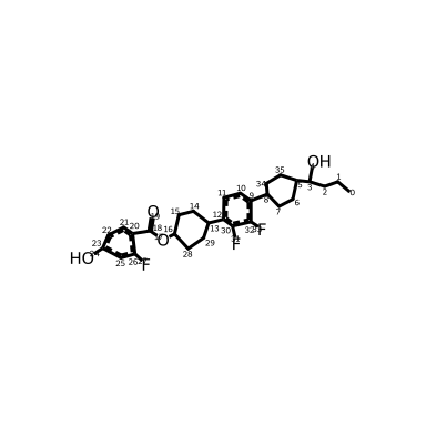 CCCC(O)C1CCC(c2ccc(C3CCC(OC(=O)c4ccc(O)cc4F)CC3)c(F)c2F)CC1